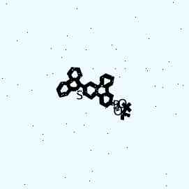 CC1(C)OB(c2ccc3c(c2)c2ccccc2c2cc4c(cc32)sc2c3ccccc3c3ccccc3c42)OC1(C)C